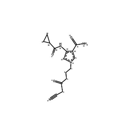 N#CCC(=O)CCCn1cc(C(N)=O)c(NC(=O)C2CC2)n1